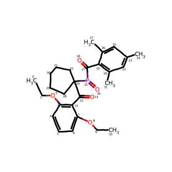 CCOc1cccc(OCC)c1C(=O)C1([P](=O)C(=O)c2c(C)cc(C)cc2C)CCCCC1